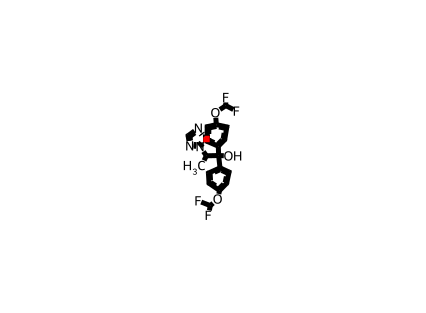 CC(n1ncnn1)C(O)(c1ccc(OC(F)F)cc1)c1ccc(OC(F)F)cc1